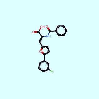 O=C(O)C(=Cc1ccc(-c2cccc(F)c2)o1)NC(=O)c1ccccc1